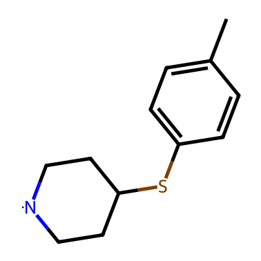 Cc1ccc(SC2CC[N]CC2)cc1